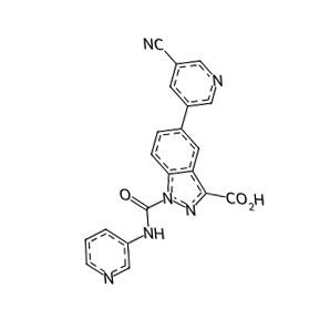 N#Cc1cncc(-c2ccc3c(c2)c(C(=O)O)nn3C(=O)Nc2cccnc2)c1